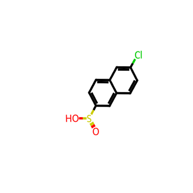 O=S(O)c1ccc2cc(Cl)ccc2c1